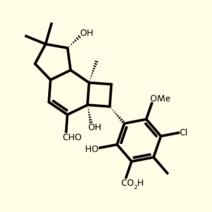 COc1c(Cl)c(C)c(C(=O)O)c(O)c1[C@H]1C[C@]2(C)C3C(C=C(C=O)[C@]12O)CC(C)(C)[C@@H]3O